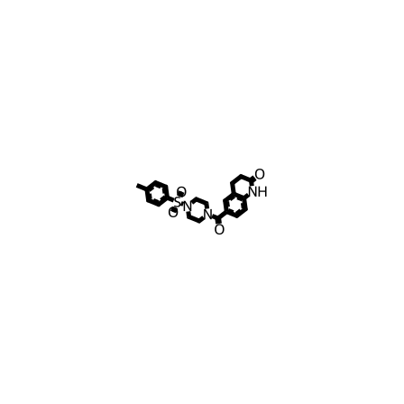 Cc1ccc(S(=O)(=O)N2CCN(C(=O)c3ccc4c(c3)CCC(=O)N4)CC2)cc1